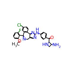 COc1cccc(F)c1C1=NCc2cnc(Nc3ccc(C(=O)C4NCC4N)cc3)nc2-c2ccc(Cl)cc21